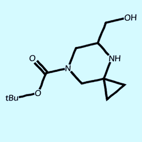 CC(C)(C)OC(=O)N1CC(CO)NC2(CC2)C1